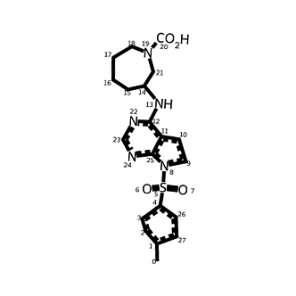 Cc1ccc(S(=O)(=O)n2ccc3c(NC4CCCCN(C(=O)O)C4)ncnc32)cc1